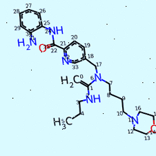 C=C(NCCC)N(CCCCN1CCOCC1)Cc1ccc(C(=O)Nc2ccccc2N)nc1